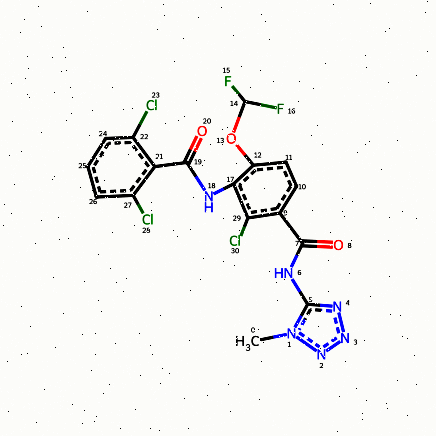 Cn1nnnc1NC(=O)c1ccc(OC(F)F)c(NC(=O)c2c(Cl)cccc2Cl)c1Cl